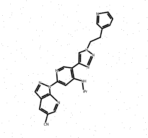 CC(C)Nc1cc(-n2ncc3cc(C#N)cnc32)ncc1-c1cn(CCc2cccnc2)nn1